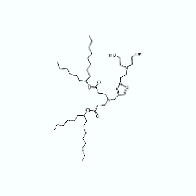 CCCCCCCCC(CCCCCC)OC(=O)CCN(CCC(=O)OC(CCCCCC)CCCCCCCC)Cc1cnn(CCN(CCO)CCO)c1